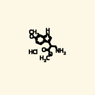 COC(=O)C(CN)c1c[nH]c2cc(OC)ccc12.Cl